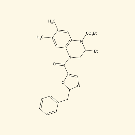 CCOC(=O)N1c2cc(C)c(C)cc2N(C(=O)C2=COC(Cc3ccccc3)O2)CC1CC